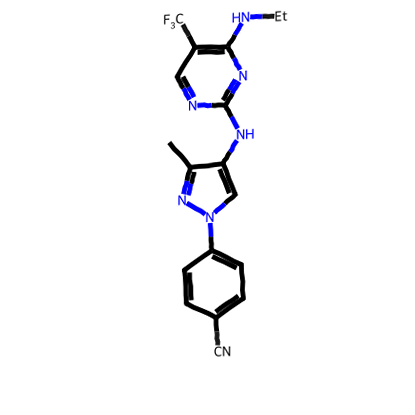 CCNc1nc(Nc2cn(-c3ccc(C#N)cc3)nc2C)ncc1C(F)(F)F